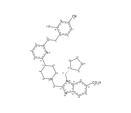 N#Cc1ccc(COc2cccc(C3CCN(Cc4nc5ccc(C(=O)O)cc5n4C[C@@H]4CCOC4)CC3)n2)c(F)c1